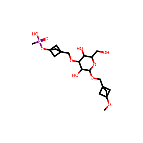 COC12CC(COC3OC(CO)C(O)C(OCC45CC(OP(C)(=O)O)(C4)C5)C3O)(C1)C2